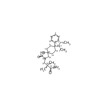 CCN(C)C1(c2ccccc2)CCC2(CC1)CN(CC(C)(C)C(N)=O)C(=O)N2